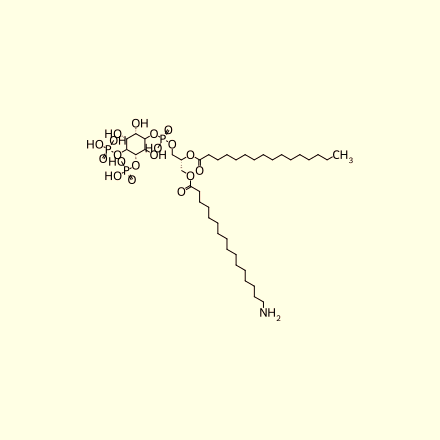 CCCCCCCCCCCCCCCC(=O)O[C@H](COC(=O)CCCCCCCCCCCCCCCN)COP(=O)(O)OC1C(O)[C@H](OP(=O)(O)O)C(OP(=O)(O)O)[C@H](O)[C@@H]1O